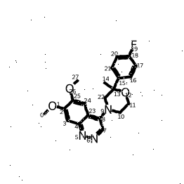 COc1cc2nncc(N3CCOC(C)(c4ccc(F)cc4)C3)c2cc1OC